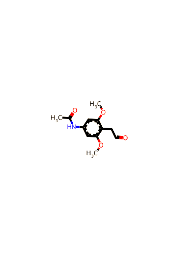 COc1cc(NC(C)=O)cc(OC)c1CC=O